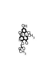 COC(=O)COc1ncc(Cl)c2c1c(=O)cc(C)n2-c1c(Cl)cc(O)cc1Cl